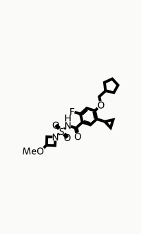 COC1CN(S(=O)(=O)NC(=O)c2cc(C3CC3)c(OCC3CCCC3)cc2F)C1